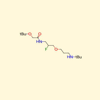 CC(C)(C)NCCCOCC(F)CNC(=O)COC(C)(C)C